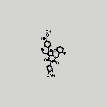 COc1ccc(-n2c(=O)c3c(CBr)n(-c4ccc(NOO)cc4)nc3n(Cc3c(F)cccc3C(F)(F)F)c2=O)nn1